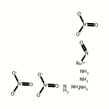 N.N.N.N.N.O=[N+]([O-])[O-].O=[N+]([O-])[O-].O=[N+]([O-])[O-].O=[N][Ru+3]